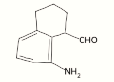 Nc1cccc2c1C(C=O)CCC2